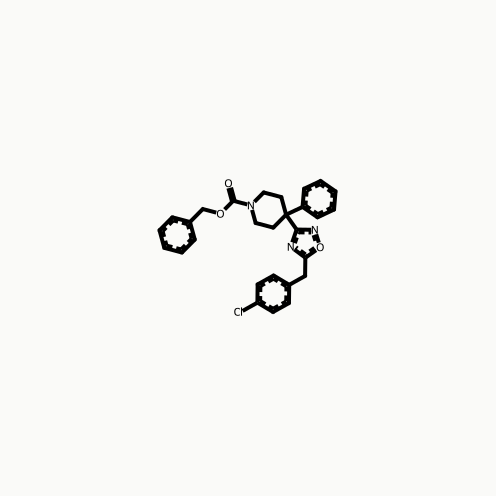 O=C(OCc1ccccc1)N1CCC(c2ccccc2)(c2noc(Cc3ccc(Cl)cc3)n2)CC1